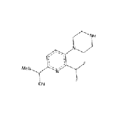 CNC(O)c1ccc(N2CCNCC2)c(C(F)F)n1